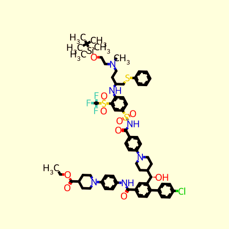 CCOC(=O)C1CCN(c2ccc(NC(=O)c3ccc(-c4ccc(Cl)cc4)c([C@@H](O)C4CCN(c5ccc(C(=O)NS(=O)(=O)c6ccc(NC(CCN(C)CCO[Si](C)(C)C(C)(C)C)CSc7ccccc7)c(S(=O)(=O)C(F)(F)F)c6)cc5)CC4)c3)cc2)CC1